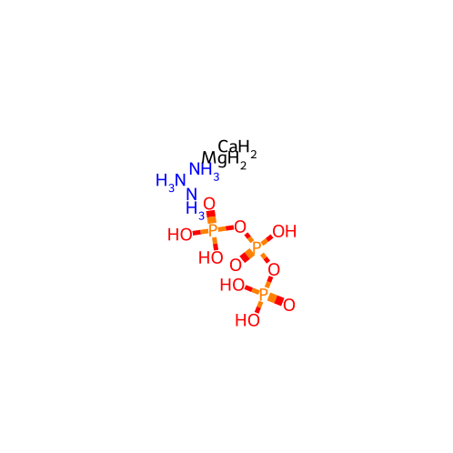 N.N.N.O=P(O)(O)OP(=O)(O)OP(=O)(O)O.[CaH2].[MgH2]